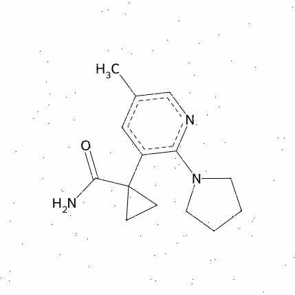 Cc1cnc(N2CCCC2)c(C2(C(N)=O)CC2)c1